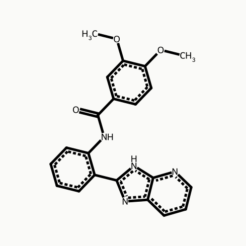 COc1ccc(C(=O)Nc2ccccc2-c2nc3cccnc3[nH]2)cc1OC